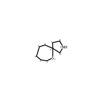 C1CCSC2(CC1)CCNC2